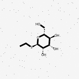 CCS[C@H]1O[C@H](CO)[C@@H](O)[C@H](O)[C@@H]1O